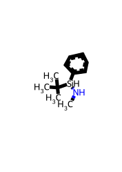 CN[SiH](c1ccccc1)C(C)(C)C